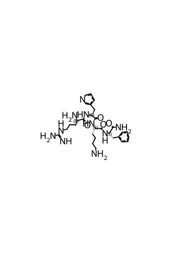 N=C(N)NCCC[C@@H](N)C(=O)N[C@@H](Cc1cccnc1)C(=O)N[C@@H](CCCCN)C(=O)N[C@@H](Cc1ccccc1)C(N)=O